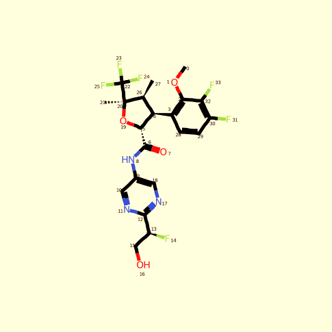 COc1c([C@H]2[C@H](C(=O)Nc3cnc([C@@H](F)CO)nc3)O[C@@](C)(C(F)(F)F)[C@H]2C)ccc(F)c1F